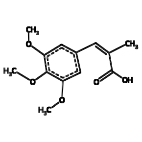 COc1cc(C=C(C)C(=O)O)cc(OC)c1OC